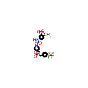 Cc1ccc(NC(=O)ON2CCC3(CC2)CN(Cc2ccc(SC(F)(F)F)cc2)C(=O)O3)cc1[N+](=O)[O-]